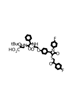 CC(C)(C)O[C@@H](CNC(=O)[C@H](NC(=O)COc1ccc(C2C(SCC(=O)c3ccc(F)cc3)C(=O)N2c2ccc(F)cc2)cc1)c1ccccc1)C(=O)O